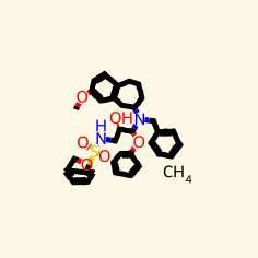 C.COc1ccc2c(c1)CC(N(Cc1ccccc1)C(Oc1ccccc1)[C@@H](O)CNS(=O)(=O)c1cc3ccc1OC3)CCC2